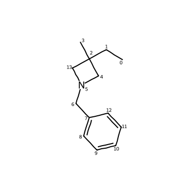 CCC1(C)CN(Cc2ccccc2)C1